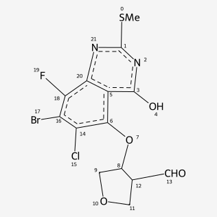 CSc1nc(O)c2c(OC3COCC3C=O)c(Cl)c(Br)c(F)c2n1